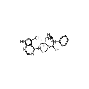 Cc1c[nH]c2ncnc(N3CCN(C(=N)N(C#N)c4ccccc4)[C@@H](C)C3)c12